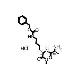 COC(=O)[C@H](CCCCNC(=O)OCc1ccccc1)NC(=O)[C@H](C)N.Cl